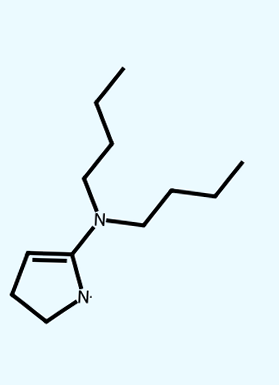 CCCCN(CCCC)C1=CCC[N]1